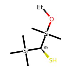 CCO[Si](C)(C)[C@@H](S)[Si](C)(C)C